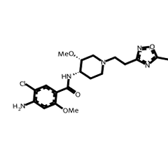 COc1cc(N)c(Cl)cc1C(=O)N[C@H]1CCN(CCc2noc(C)n2)C[C@H]1OC